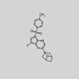 Cc1ccc(S(=O)(=O)n2cc(I)c3cc(N4CC5CC(C4)O5)cnc32)cc1